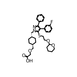 O=C(O)COC[C@H]1CC[C@H](Cn2nc(-c3ccccc3)c(-c3cccc(F)c3)c2SCCOC2CCCCO2)CC1